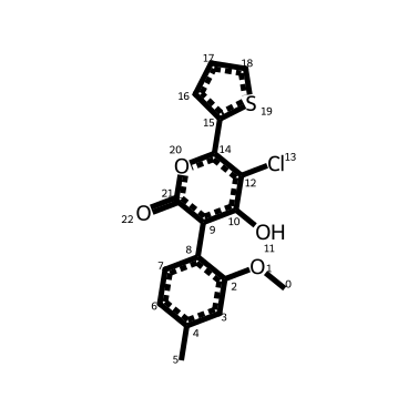 COc1cc(C)ccc1-c1c(O)c(Cl)c(-c2cccs2)oc1=O